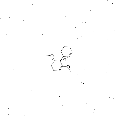 COC1=CCCC(OC)C1[C@@H]1C=CCCC1